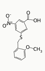 COc1ccccc1CSc1cc(C(=O)O)cc([N+](=O)[O-])c1